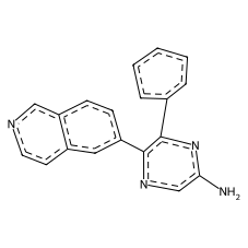 Nc1cnc(-c2ccc3cnccc3c2)c(-c2ccccc2)n1